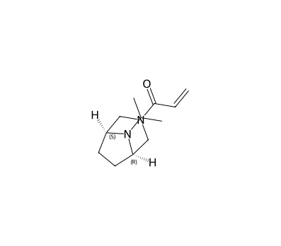 C=CC(=O)N1C[C@H]2CC[C@@H](C1)N2C(C)C